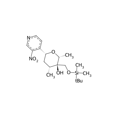 C[C@@H]1C[C@H](c2ccncc2[N+](=O)[O-])O[C@H](C)[C@]1(O)CO[Si](C)(C)C(C)(C)C